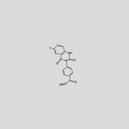 COC(=O)c1ccc(-n2c(=S)[nH]c3ccc(I)cc3c2=O)cc1